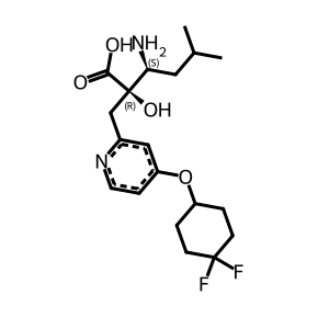 CC(C)C[C@H](N)[C@](O)(Cc1cc(OC2CCC(F)(F)CC2)ccn1)C(=O)O